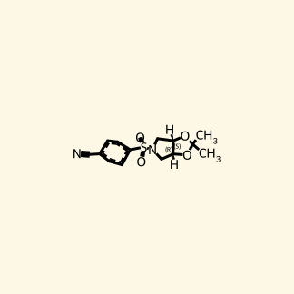 CC1(C)O[C@H]2CN(S(=O)(=O)c3ccc(C#N)cc3)C[C@H]2O1